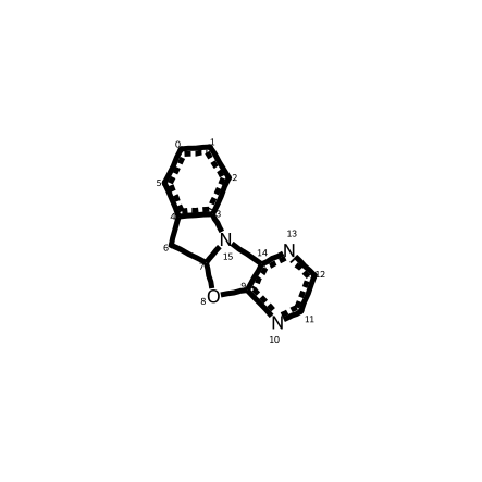 c1ccc2c(c1)CC1Oc3nccnc3N21